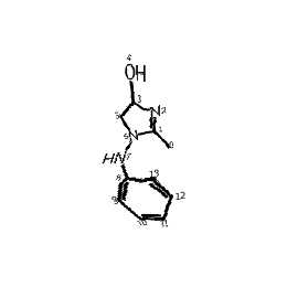 CC1=NC(O)CN1Nc1ccccc1